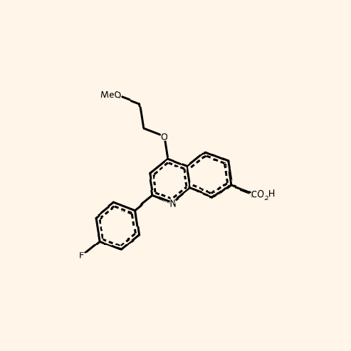 COCCOc1cc(-c2ccc(F)cc2)nc2cc(C(=O)O)ccc12